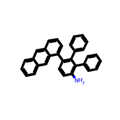 Nc1ccc(-c2cccc3cc4ccccc4cc23)c(-c2ccccc2)c1-c1ccccc1